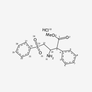 COC(=O)C(c1ccccc1)C(N)CS(=O)(=O)c1ccccc1.Cl